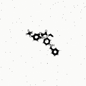 CCN(C(=O)c1nc2cc(OC(F)(F)F)ccc2[nH]1)[C@H]1CCC[C@@H](NCc2ccccc2)C1